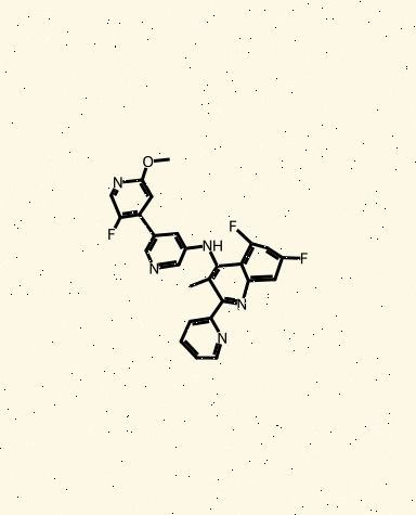 COc1cc(-c2cncc(Nc3c(C)c(-c4ccccn4)nc4cc(F)cc(F)c34)c2)c(F)cn1